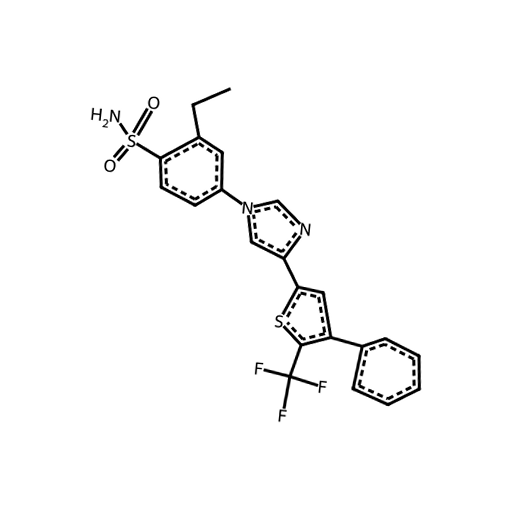 CCc1cc(-n2cnc(-c3cc(-c4ccccc4)c(C(F)(F)F)s3)c2)ccc1S(N)(=O)=O